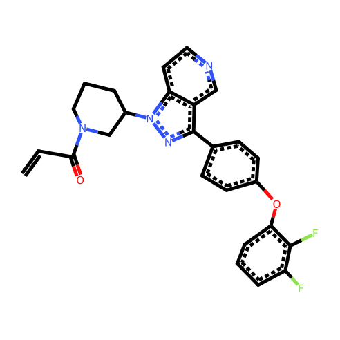 C=CC(=O)N1CCCC(n2nc(-c3ccc(Oc4cccc(F)c4F)cc3)c3cnccc32)C1